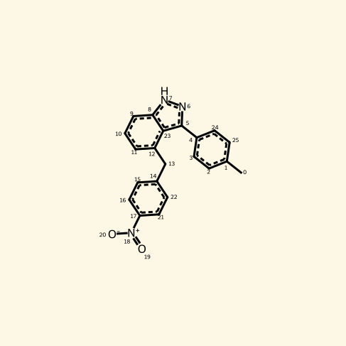 Cc1ccc(-c2n[nH]c3cccc(Cc4ccc([N+](=O)[O-])cc4)c23)cc1